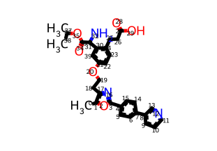 Cc1oc(-c2ccc(-c3cccnc3)cc2)nc1CCOc1ccc(CCC(=O)O)c(C(N)C(=O)OC(C)C)c1